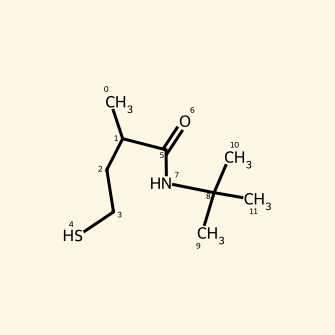 CC(CCS)C(=O)NC(C)(C)C